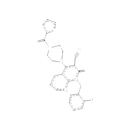 N#Cc1c(N2CCN(C(=O)c3cccs3)CC2)c2cccnc2n(Cc2ccccc2F)c1=O